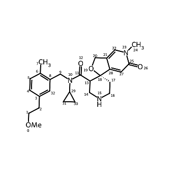 COCCc1ccc(C)c(CN(C(=O)C2CNCC[C@@]23OCc2cn(C)c(=O)cc23)C2CC2)c1